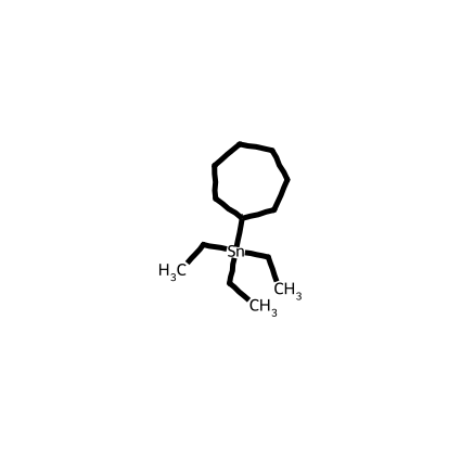 C[CH2][Sn]([CH2]C)([CH2]C)[C]1CCCCCC1